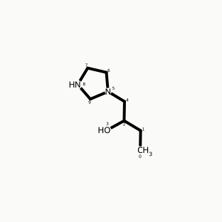 CCC(O)CN1CCNC1